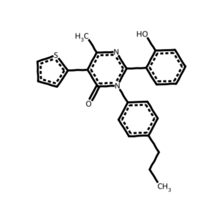 CCCc1ccc(-n2c(-c3ccccc3O)nc(C)c(-c3cccs3)c2=O)cc1